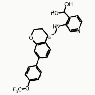 OC(O)c1ccncc1NC[C@H]1CCOc2cc(-c3ccc(OC(F)(F)F)cc3)ccc21